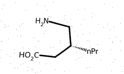 CCC[C@@H](CN)CC(=O)O